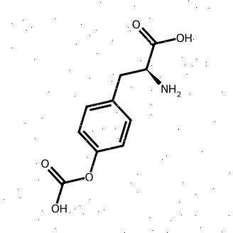 N[C@@H](Cc1ccc(OC(=O)O)cc1)C(=O)O